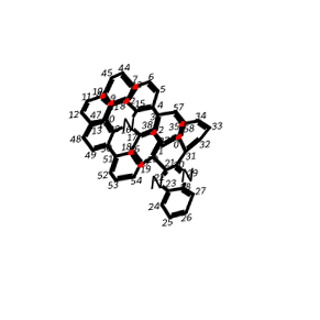 c1ccc(-c2cccc(-c3ccccc3)c2N(c2ccc(-c3nc4ccccc4nc3-c3ccccc3)cc2)c2c(-c3ccccc3)cccc2-c2ccccc2)cc1